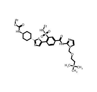 CCNS(=O)(=O)c1cc(C(=O)Nc2nccn2COCC[Si](C)(C)C)ccc1-c1cnc([C@H]2CC[C@H](NC(=O)OC(C)C)CC2)s1